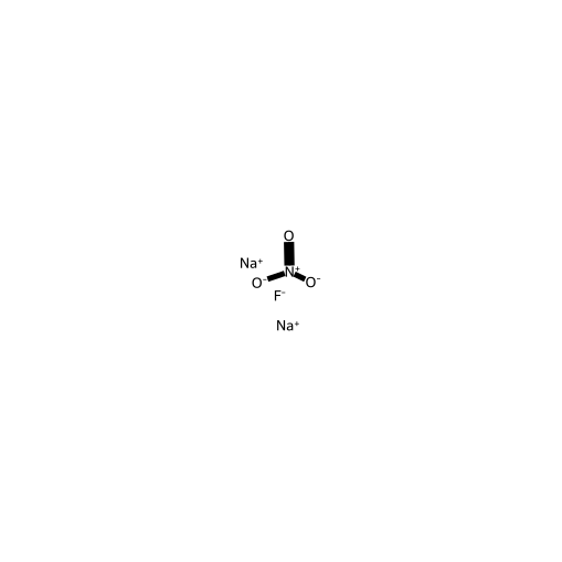 O=[N+]([O-])[O-].[F-].[Na+].[Na+]